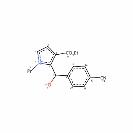 CCOC(=O)c1ccn(C(C)C)c1C(O)c1ccc(C#N)cc1